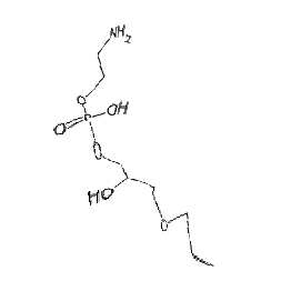 CCCOCC(O)COP(=O)(O)OCCN